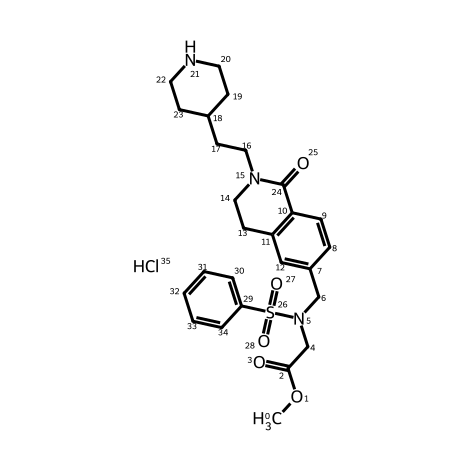 COC(=O)CN(Cc1ccc2c(c1)CCN(CCC1CCNCC1)C2=O)S(=O)(=O)c1ccccc1.Cl